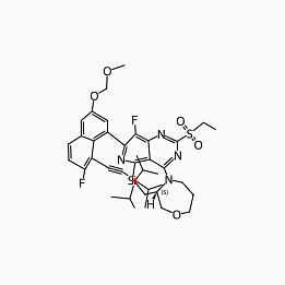 CCS(=O)(=O)c1nc2c3c(nc(-c4cc(OCOC)cc5ccc(F)c(C#C[Si](C(C)C)(C(C)C)C(C)C)c45)c(F)c3n1)CC[C@H]1COCCCN21